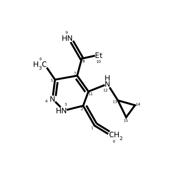 C=C=C1NN=C(C)C(C(=N)CC)=C1NC1CC1